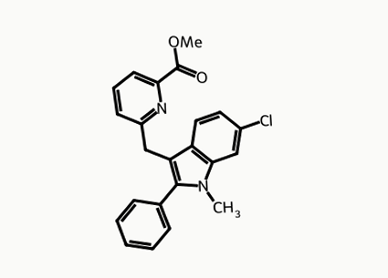 COC(=O)c1cccc(Cc2c(-c3ccccc3)n(C)c3cc(Cl)ccc23)n1